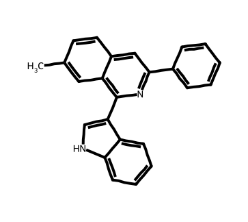 Cc1ccc2cc(-c3ccccc3)nc(-c3c[nH]c4ccccc34)c2c1